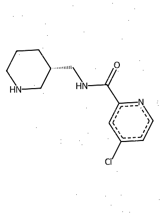 O=C(NC[C@H]1CCCNC1)c1cc(Cl)ccn1